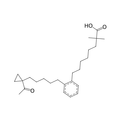 CC(=O)C1(CCCCCc2ccccc2CCCCCCC(C)(C)C(=O)O)CC1